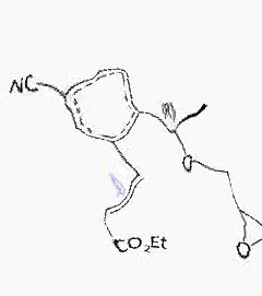 CCOC(=O)/C=C/c1cc(C#N)ccc1[C@@H](C)OCC1CO1